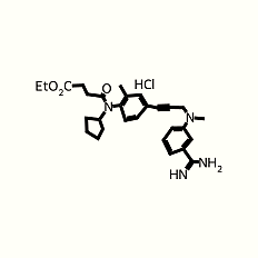 CCOC(=O)CCC(=O)N(c1ccc(C#CCN(C)c2cccc(C(=N)N)c2)cc1C)C1CCCC1.Cl